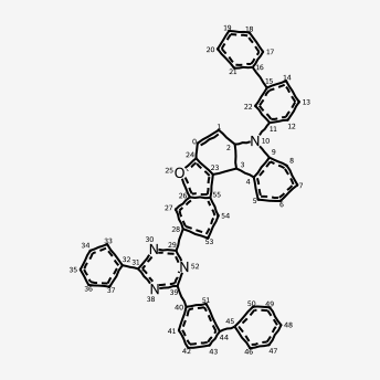 C1=CC2C(c3ccccc3N2c2cccc(-c3ccccc3)c2)c2c1oc1cc(-c3nc(-c4ccccc4)nc(-c4cccc(-c5ccccc5)c4)n3)ccc21